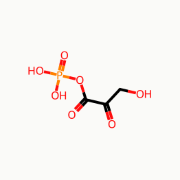 O=C(CO)C(=O)OP(=O)(O)O